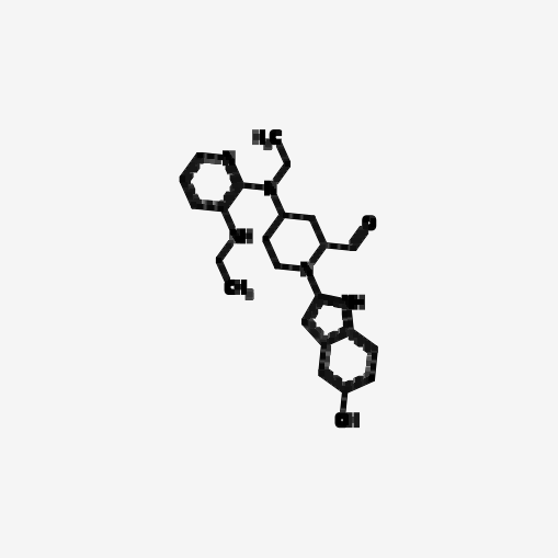 CCNc1cccnc1N(CC)C1CCN(c2cc3cc(O)ccc3[nH]2)C(C=O)C1